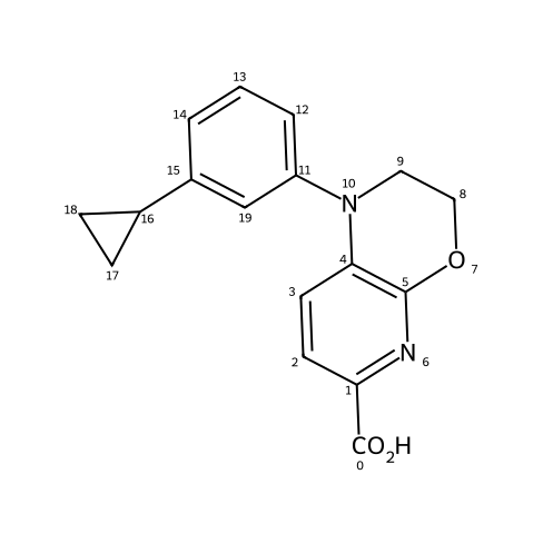 O=C(O)c1ccc2c(n1)OCCN2c1cccc(C2CC2)c1